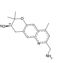 Cc1cc(CN)nc2cc3c(cc12)OC(C)(C)[C@H](O)C3